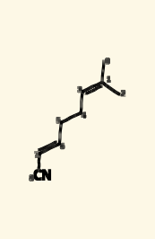 CC(C)=CCCC=CC#N